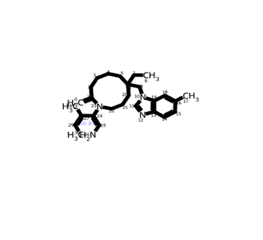 C=C1CCCCC(CC)(Cn2cnc3ccc(C)cc32)CCCN1C(=C/N)/C(C)=C\C